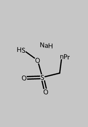 CCCCS(=O)(=O)OS.[NaH]